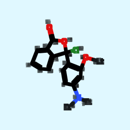 CCOc1cc(N(CC)CC)ccc1C1(Cl)OC(=O)c2ccccc21